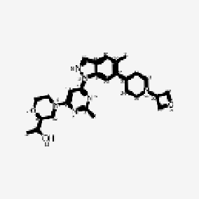 Cc1nc(N2CCOC(C(C)O)C2)cc(-n2ncc3cc(C)c(C4CCN(C5COC5)CC4)cc32)n1